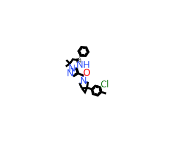 Cc1ccc(C23CC2CN(C(=O)c2cnn4c2N[C@@H](c2ccccc2)CC4(C)C)C3)cc1Cl